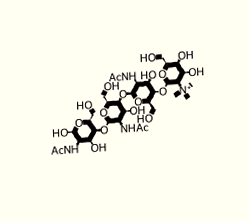 CC(=O)N[C@@H]1[C@@H](O)[C@H](O[C@@H]2O[C@H](CO)[C@@H](O[C@@H]3O[C@H](CO)[C@@H](O[C@@H]4O[C@H](CO)[C@@H](O)[C@H](O)[C@H]4[N+](C)(C)C)[C@H](O)[C@H]3NC(C)=O)[C@H](O)[C@H]2NC(C)=O)[C@@H](CO)O[C@H]1O